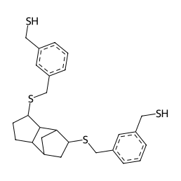 SCc1cccc(CSC2CC3CC2C2C(SCc4cccc(CS)c4)CCC32)c1